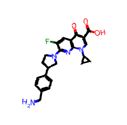 NCc1ccc(C2CCN(c3nc4c(cc3F)c(=O)c(C(=O)O)cn4C3CC3)C2)cc1